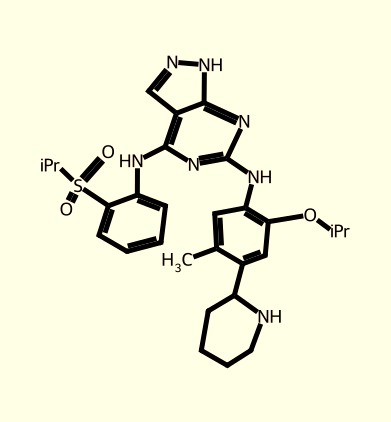 Cc1cc(Nc2nc(Nc3ccccc3S(=O)(=O)C(C)C)c3cn[nH]c3n2)c(OC(C)C)cc1C1CCCCN1